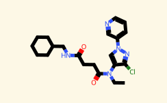 CCN(C(=O)CCC(=O)NCC1CCCCC1)c1cn(-c2cccnc2)nc1Cl